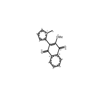 COC1=C(c2cccn2C)C(=O)c2ccccc2C1=O